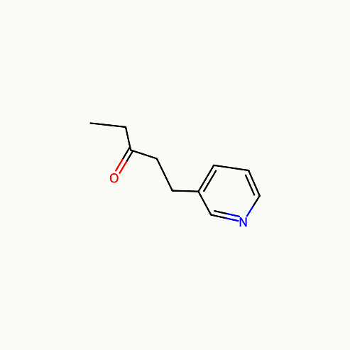 CCC(=O)CCc1cccnc1